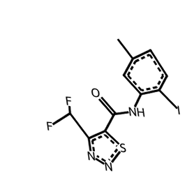 Cc1ccc(I)c(NC(=O)c2snnc2C(F)F)c1